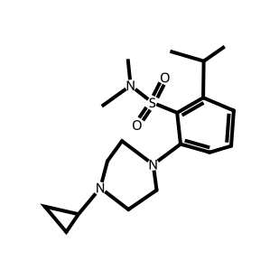 CC(C)c1cccc(N2CCN(C3CC3)CC2)c1S(=O)(=O)N(C)C